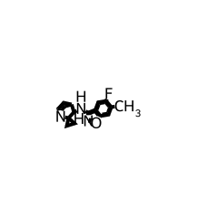 Cc1cc2onc(N[C@H]3C4CCN(CC4)C34CC4)c2cc1F